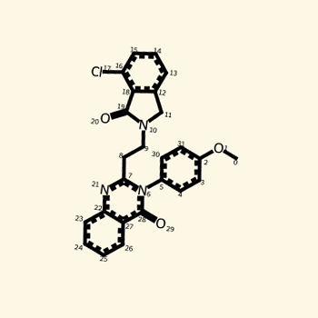 COc1ccc(-n2c(CCN3Cc4cccc(Cl)c4C3=O)nc3ccccc3c2=O)cc1